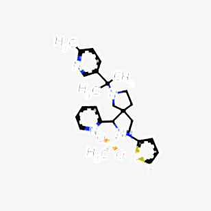 Cc1ccc(C(C)(C)N2CCC(CCc3ccc(F)s3)(C(NS(C)(=O)=O)c3ccccn3)C2)cn1